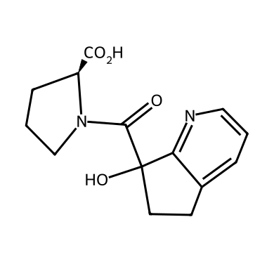 O=C(O)[C@@H]1CCCN1C(=O)C1(O)CCc2cccnc21